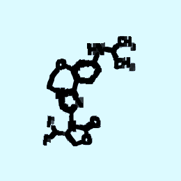 CC(C)Nc1ccc2c(c1)OCCn1cc(N3C(=O)OC[C@H]3C(F)F)nc1-2